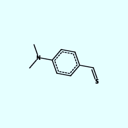 CN(C)c1ccc(C=S)cc1